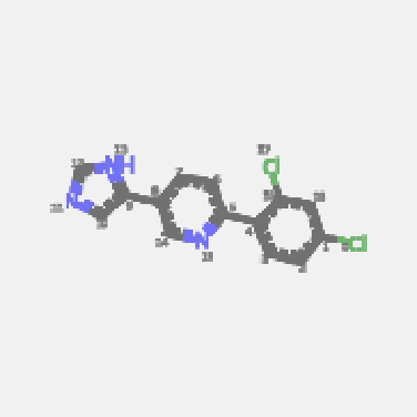 Clc1ccc(-c2ccc(-c3cnc[nH]3)[c]n2)c(Cl)c1